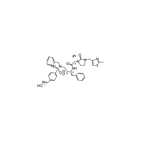 Cc1nc(CN2CCN([C@H](C(=O)N[C@@H](Cc3ccccc3)[C@H](O)CN(Cc3ccccn3)S(=O)(=O)c3ccc(/C=N/O)cc3)C(C)C)C2=O)cs1